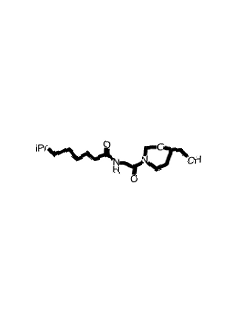 CC(C)CCCCCC(=O)NCC(=O)N1CCC(CO)CC1